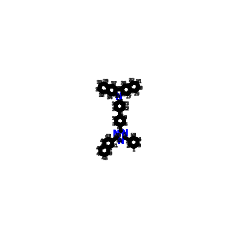 c1ccc(-c2nc(-c3ccc(-c4ccc(-n5c6cc7ccccc7cc6c6cc7ccccc7cc65)cc4)cc3)nc(-c3ccc4ccccc4c3)n2)cc1